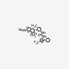 CNc1ncc2cc(-c3cc(NC(=O)Nc4cc(C(F)(F)F)nn4-c4ccccc4)ccc3C)c(=O)n(C)c2n1